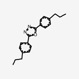 CCCc1ccc(-c2nnc(-c3ccc(CCC)cc3)o2)cc1